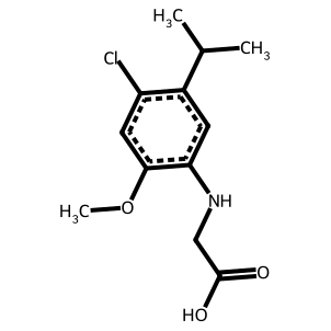 COc1cc(Cl)c(C(C)C)cc1NCC(=O)O